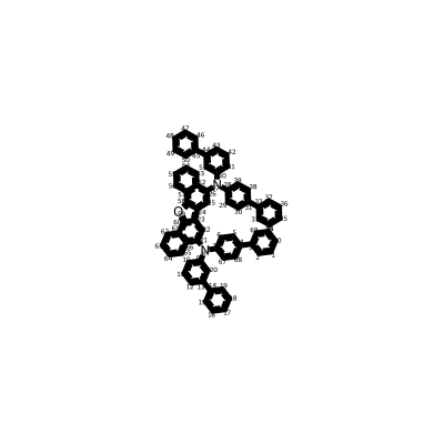 c1ccc(-c2ccc(N(c3cccc(-c4ccccc4)c3)c3cc4c5cc(N(c6ccc(-c7ccccc7)cc6)c6cccc(-c7ccccc7)c6)c6ccccc6c5oc4c4ccccc34)cc2)cc1